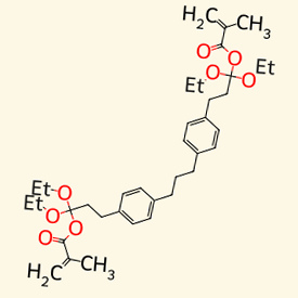 C=C(C)C(=O)OC(CCc1ccc(CCCc2ccc(CCC(OCC)(OCC)OC(=O)C(=C)C)cc2)cc1)(OCC)OCC